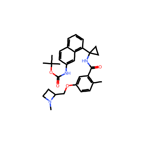 Cc1ccc(OCC2CCN2C)cc1C(=O)NC1(c2cccc3ccc(NC(=O)OC(C)(C)C)cc23)CC1